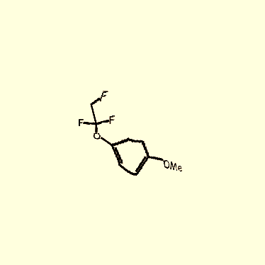 COC1=CC=C(OC(F)(F)CF)[CH]C1